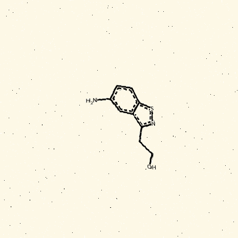 Nc1ccc2snc(CCO)c2c1